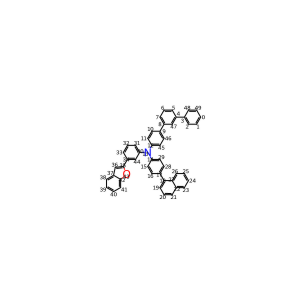 c1ccc(-c2cccc(-c3ccc(N(c4ccc(-c5cccc6ccccc56)cc4)c4cccc(-c5cc6ccccc6o5)c4)cc3)c2)cc1